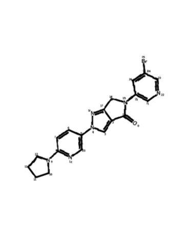 O=C1c2cn(-c3ccc(N4CCCC4)nc3)nc2CN1c1cncc(Br)c1